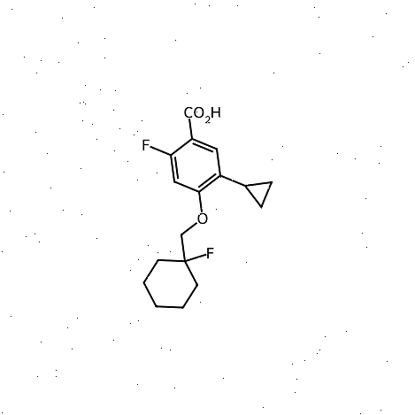 O=C(O)c1cc(C2CC2)c(OCC2(F)CCCCC2)cc1F